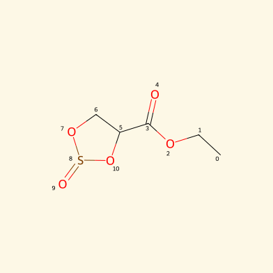 CCOC(=O)C1COS(=O)O1